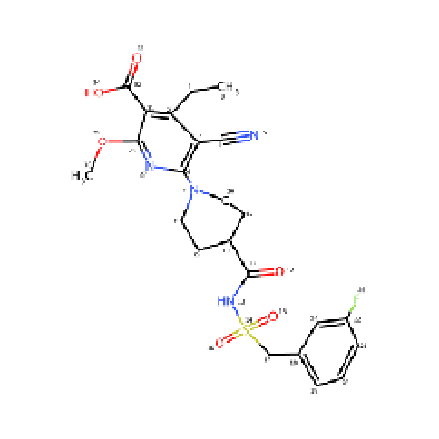 CCc1c(C#N)c(N2CCC(C(=O)NS(=O)(=O)Cc3cccc(F)c3)CC2)nc(OC)c1C(=O)O